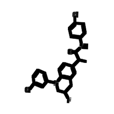 CC(C(=O)Nc1ccc(Cl)cc1)c1ccc2c(c1)CC(F)CN2c1cccc(Cl)c1